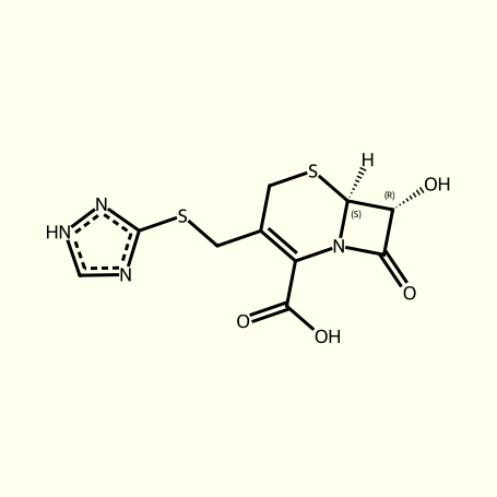 O=C(O)C1=C(CSc2nc[nH]n2)CS[C@H]2[C@H](O)C(=O)N12